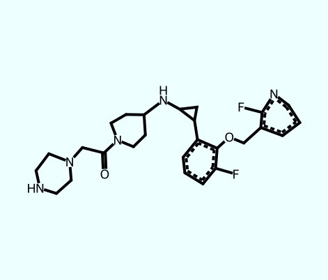 O=C(CN1CCNCC1)N1CCC(NC2CC2c2cccc(F)c2OCc2cccnc2F)CC1